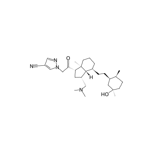 C[C@H]1CC[C@@](C)(O)C[C@H]1CC[C@@H]1CCC[C@@]2(C)[C@H]1[C@H](CN(C)C)C[C@@H]2C(=O)Cn1cc(C#N)cn1